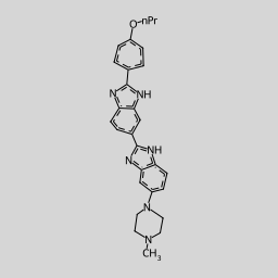 CCCOc1ccc(-c2nc3ccc(-c4nc5cc(N6CCN(C)CC6)ccc5[nH]4)cc3[nH]2)cc1